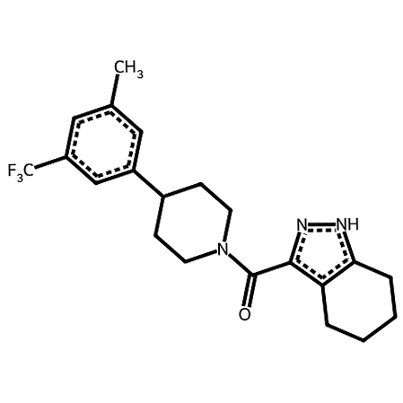 Cc1cc(C2CCN(C(=O)c3n[nH]c4c3CCCC4)CC2)cc(C(F)(F)F)c1